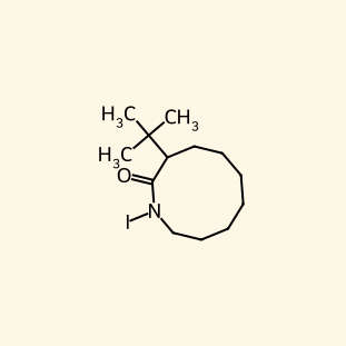 CC(C)(C)C1CCCCCCCN(I)C1=O